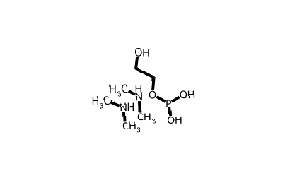 CNC.CNC.OCCOP(O)O